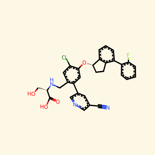 N#Cc1cncc(-c2cc(O[C@H]3CCc4c(-c5ccccc5F)cccc43)c(Cl)cc2CN[C@@H](CO)C(=O)O)c1